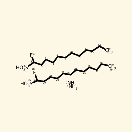 N.N.O=S(=O)(O)C(F)CCCCCCCCCCC(F)(F)F.O=S(=O)(O)C(F)CCCCCCCCCCC(F)(F)F